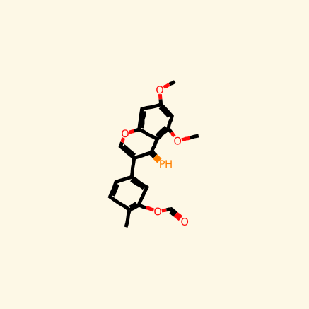 COc1cc(OC)c2c(=P)c(-c3ccc(C)c(OC=O)c3)coc2c1